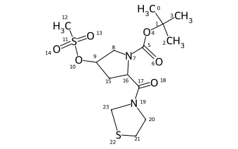 CC(C)(C)OC(=O)N1CC(OS(C)(=O)=O)CC1C(=O)N1CCSC1